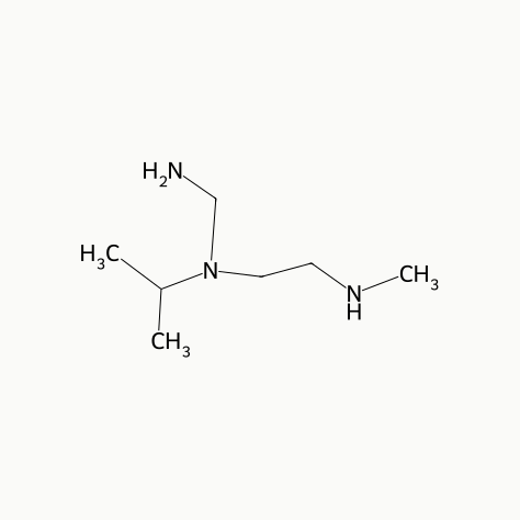 CNCCN(CN)C(C)C